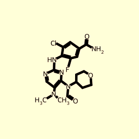 CN(C)c1cnc(Nc2c(F)cc(C(N)=O)cc2Cl)nc1N(C=O)C1CCOCC1